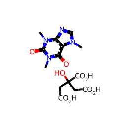 Cn1c(=O)c2c(ncn2C)n(C)c1=O.O=C(O)CC(O)(CC(=O)O)C(=O)O